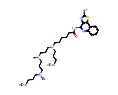 CCCCCCCCCCCCCN(CC)CCCN(C)CCCN(CCCCCCCCCCCCC)CCCCCC(=O)Nc1nc2ccccc2c2sc(CCC)nc12